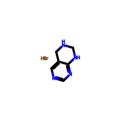 Br.c1ncc2c(n1)NCNC2